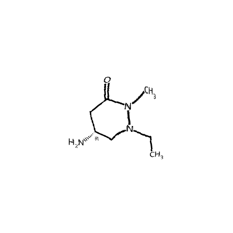 CCN1C[C@H](N)CC(=O)N1C